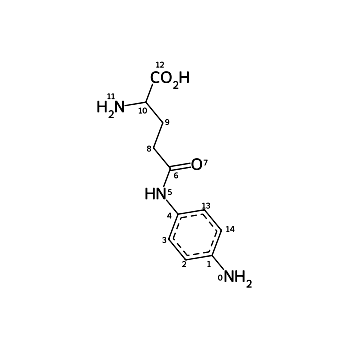 Nc1ccc(NC(=O)CCC(N)C(=O)O)cc1